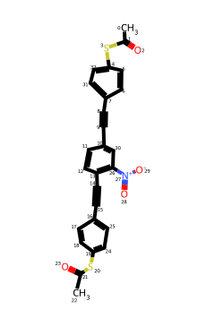 CC(=O)Sc1ccc(C#Cc2ccc(C#Cc3ccc(SC(C)=O)cc3)c([N+](=O)[O-])c2)cc1